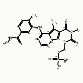 CCCNC(=O)c1ccc(C)c(Nc2ncnn3cc(C(=O)N(CC)C(=O)OCOP(=O)(O)O)c(C)c23)c1